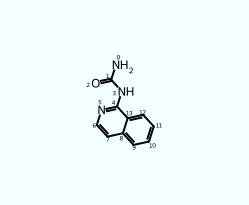 NC(=O)Nc1nccc2ccccc12